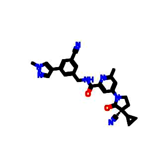 Cc1cc(N2CC[C@@](C#N)(C3CC3)C2=O)cc(C(=O)NCc2cc(C#N)cc(-c3cnn(C)c3)c2)n1